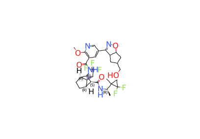 COc1ncc(C2=NOC3CC(CO)CC23)cc1C(=O)N[C@H]1[C@@H](C(=O)N[C@H](C)C2(C)CC2(F)F)[C@H]2CC[C@@H]1/C2=C\C(F)(F)F